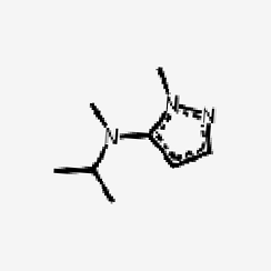 CC(C)N(C)c1ccnn1C